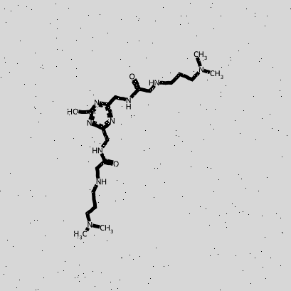 CN(C)CCCNCC(=O)NCc1nc(O)nc(CNC(=O)CNCCCN(C)C)n1